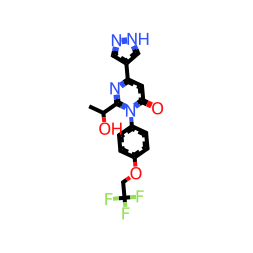 CC(O)c1nc(-c2cn[nH]c2)cc(=O)n1-c1ccc(OCC(F)(F)F)cc1